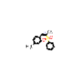 Cc1ccc(/C=C(/C#N)S(=O)(=O)c2ccccc2)cc1